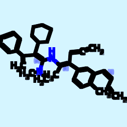 C=C=C/C(=C(/C)N/C(=C(/C(=C)c1ccccc1)C1CCCCC1)N(C)C)c1ccc(C)c(/C=C\C=C)c1